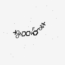 CC(C)(C)OC(=O)N1CCC2(CC1)CCN(c1cccc(CO[Si](C)(C)C(C)(C)C)c1F)CC2